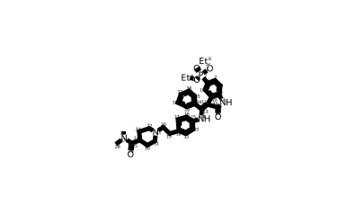 CCOP(=O)(OCC)c1ccc2c(c1)/C(=C(/Nc1ccc(CCN3CCC(C(=O)N(C)C)CC3)cc1)c1ccccc1)C(=O)N2